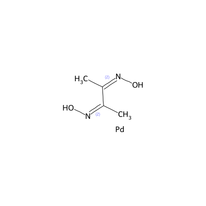 CC(=N/O)/C(C)=N\O.[Pd]